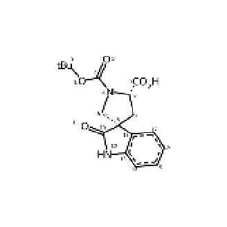 CC(C)(C)OC(=O)N1C[C@@]2(C[C@H]1C(=O)O)C(=O)Nc1ccccc12